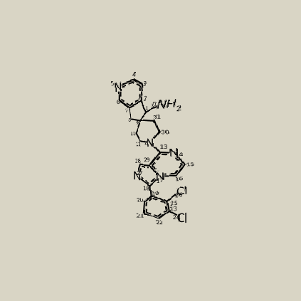 NC1c2ccncc2CC12CCN(c1nccn3c(-c4cccc(Cl)c4Cl)ncc13)CC2